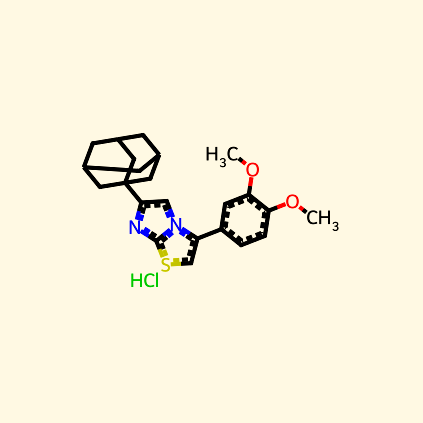 COc1ccc(-c2csc3nc(C45CC6CC(CC(C6)C4)C5)cn23)cc1OC.Cl